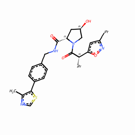 Cc1ncsc1-c1ccc(CNC(=O)[C@@H]2C[C@@H](O)CN2C(=O)[C@H](c2cc(C(C)C)no2)C(C)C)cc1